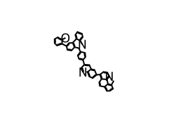 Cc1cccc2ccc3c(-c4ccc5ncc(-c6ccc(-c7nc8ccccc8c8c7ccc7c9ccccc9oc78)cc6)cc5c4)ccnc3c12